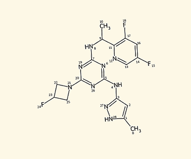 Cc1cc(Nc2nc(NC(C)c3ncc(F)cc3F)nc(N3CC(F)C3)n2)n[nH]1